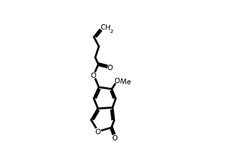 C=CCCC(=O)Oc1cc2coc(=O)cc2cc1OC